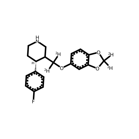 [2H]C1([2H])Oc2ccc(OC([2H])([2H])C3CNCC[C@H]3c3ccc(F)cc3)cc2O1